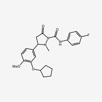 COc1ccc(C2CC(=O)N(C(=O)Nc3ccc(F)cc3)N2C)cc1OC1CCCC1